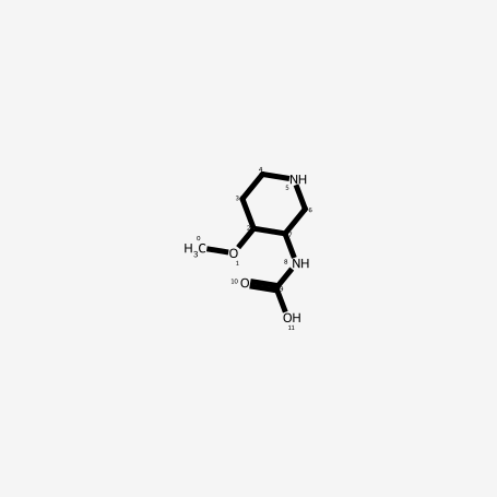 COC1CCNCC1NC(=O)O